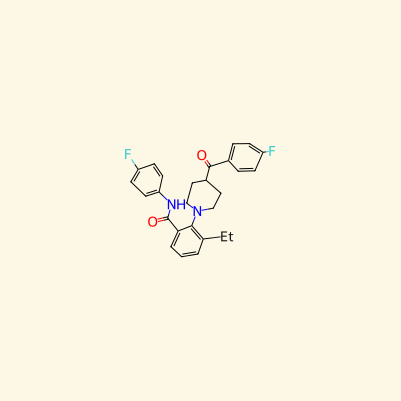 CCc1cccc(C(=O)Nc2ccc(F)cc2)c1N1CCC(C(=O)c2ccc(F)cc2)CC1